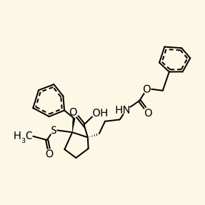 CC(=O)S[C@@]1(Cc2ccccc2)CCC[C@]1(CCCNC(=O)OCc1ccccc1)C(=O)O